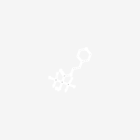 CC(C(=O)OCCN1CCOCC1)(C(F)(F)F)C(F)(F)F